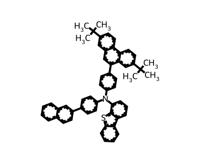 CC(C)(C)c1ccc2c(c1)cc(-c1ccc(N(c3ccc(-c4ccc5ccccc5c4)cc3)c3cccc4c3sc3ccccc34)cc1)c1cc(C(C)(C)C)ccc12